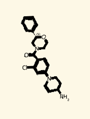 NC1CCN(c2ccc(C(=O)N3CCO[C@@H](c4ccccc4)C3)c(Cl)c2)CC1